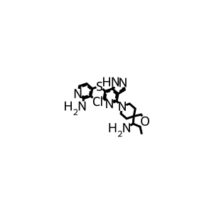 CC1OCC2(CCN(c3ncc(Sc4ccnc(N)c4Cl)c4[nH]ncc34)CC2)C1N